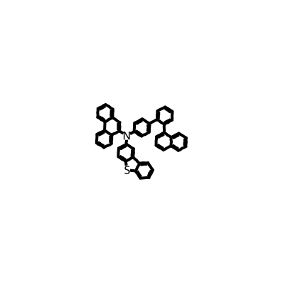 c1ccc(-c2cccc3ccccc23)c(-c2ccc(N(c3ccc4sc5ccccc5c4c3)c3cc4ccccc4c4ccccc34)cc2)c1